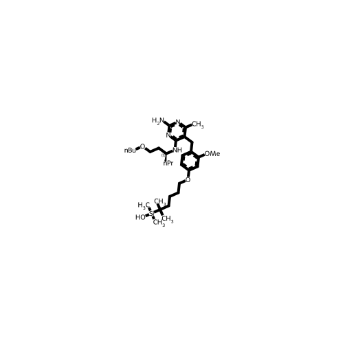 CCCCOCC[C@H](CCC)Nc1nc(N)nc(C)c1Cc1ccc(OCCCCC(C)(C)[Si](C)(C)O)cc1OC